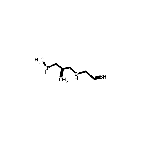 B=CCBCC(=C)CBC